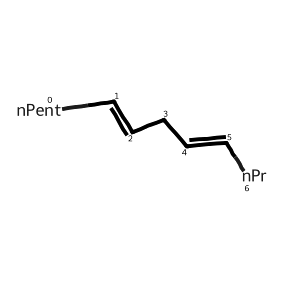 [CH2]CCCCC=CCC=CCCC